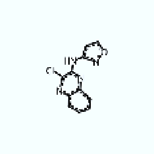 Clc1nc2ccccc2nc1Nc1ccon1